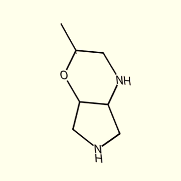 C[C]1CNC2CNCC2O1